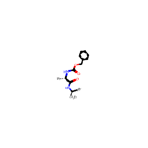 CCOC(=O)[C@@H](NC(=O)[C@@H](NC(=O)OCc1ccccc1)C(C)C)C(C)C